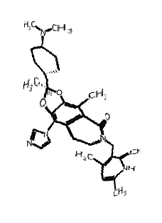 Cc1cc(C)c(CN2CCc3c(c(C)c4c(c3-n3ccnc3)O[C@@](C)([C@H]3CC[C@H](N(C)C)CC3)O4)C2=O)c(=O)[nH]1